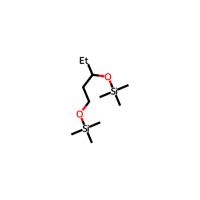 CCC(CCO[Si](C)(C)C)O[Si](C)(C)C